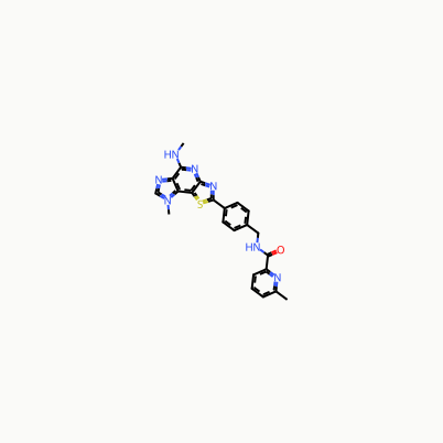 CNc1nc2nc(-c3ccc(CNC(=O)c4cccc(C)n4)cc3)sc2c2c1ncn2C